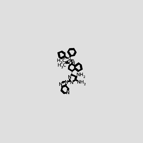 CC(C)(C)[Si](O[C@@H]1CC[C@@H](c2nc(-n3cnc4ccncc43)nc(N)c2N)c2ccccc21)(c1ccccc1)c1ccccc1